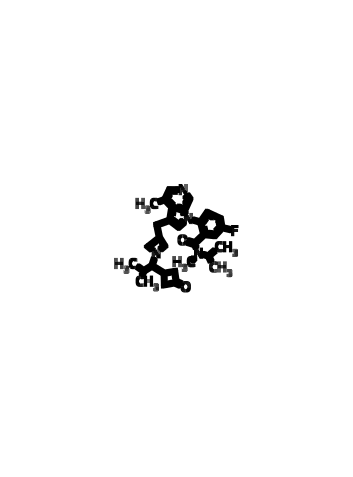 Cc1cncc2c1c(CC1CN(C(C(C)C)C3CC(=O)C3)C1)cn2-c1ccc(F)cc1C(=O)N(C)C(C)C